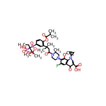 CCOP(=O)(c1ccc(OC(=O)C(C)C)c(C(C)(C)CC(=O)N2CCN(c3c(F)cc4c(=O)c(C(=O)O)cn(C5CC5)c4c3OC)CC2C)c1)C(CC)(CC)P(=O)(O)O